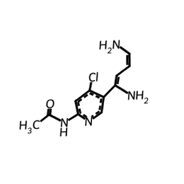 CC(=O)Nc1cc(Cl)c(/C(N)=C/C=C\N)cn1